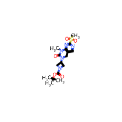 CN1C(=O)N(C2CN(C(=O)OC(C)(C)C)C2)Cc2cnc(S(C)(=O)=O)nc21